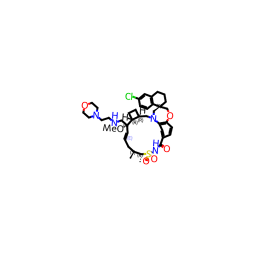 CO[C@@]1(CNCCN2CCOCC2)/C=C/C[C@H](C)[C@@H](C)S(=O)(=O)NC(=O)c2ccc3c(c2)N(C[C@@H]2CC[C@H]21)C[C@@]1(CCCc2cc(Cl)ccc21)CO3